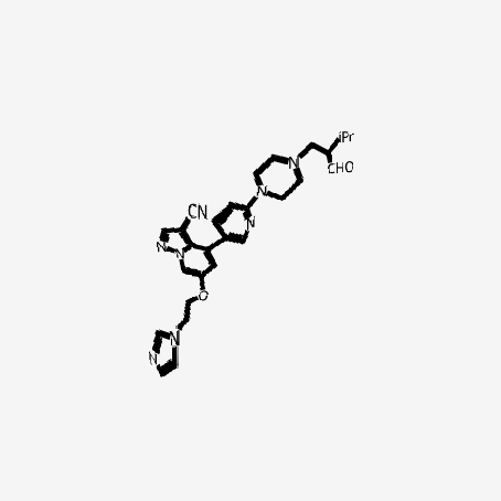 CC(C)C(C=O)CN1CCN(c2ccc(-c3cc(OCCn4ccnc4)cn4ncc(C#N)c34)cn2)CC1